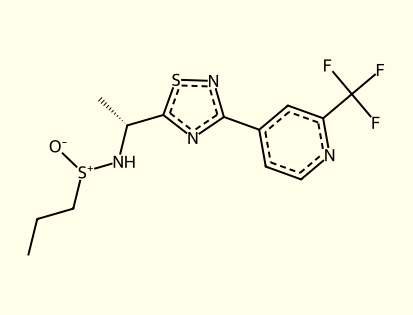 CCC[S+]([O-])N[C@H](C)c1nc(-c2ccnc(C(F)(F)F)c2)ns1